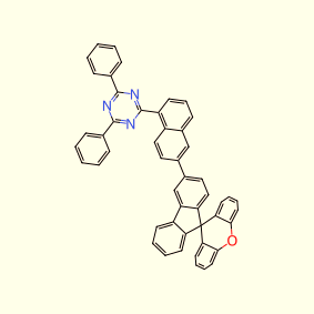 c1ccc(-c2nc(-c3ccccc3)nc(-c3cccc4cc(-c5ccc6c(c5)-c5ccccc5C65c6ccccc6Oc6ccccc65)ccc34)n2)cc1